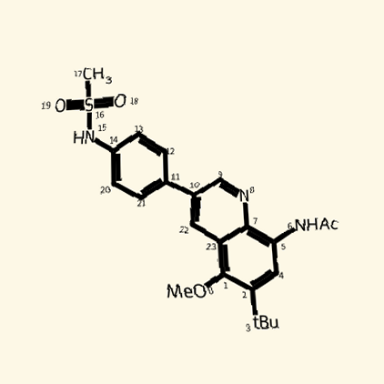 COc1c(C(C)(C)C)cc(NC(C)=O)c2ncc(-c3ccc(NS(C)(=O)=O)cc3)cc12